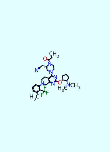 C=CC(=O)N1CCN(c2nc(OC3CCCC3N(C)C)nc3c2CCN(c2cccc(C)c2C(F)(F)F)C3)C[C@@H]1CC#N